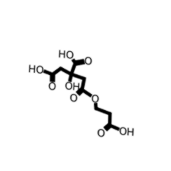 O=C(O)CCOC(=O)CC(O)(CC(=O)O)C(=O)O